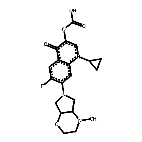 CN1CCOC2CN(c3cc4c(cc3F)c(=O)c(OC(=O)O)cn4C3CC3)CC21